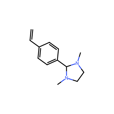 C=Cc1ccc(C2N(C)CCN2C)cc1